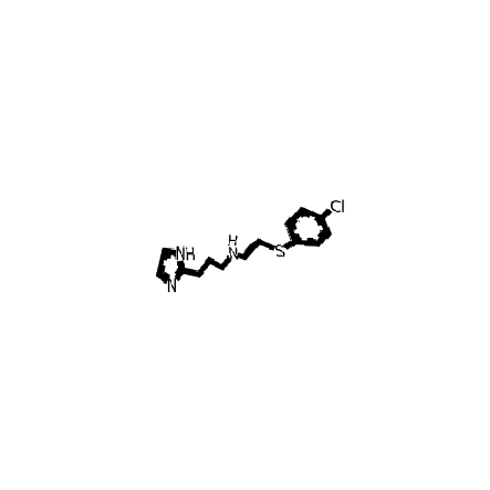 Clc1ccc(SCCNCCCc2ncc[nH]2)cc1